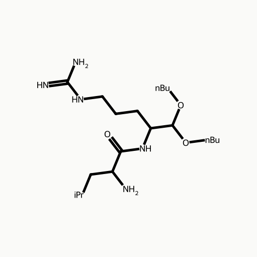 CCCCOC(OCCCC)C(CCCNC(=N)N)NC(=O)C(N)CC(C)C